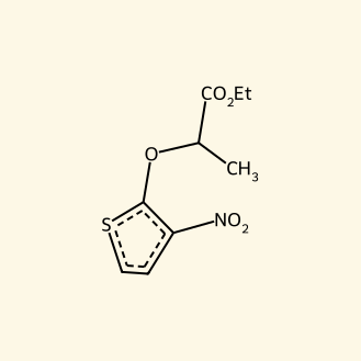 CCOC(=O)C(C)Oc1sccc1[N+](=O)[O-]